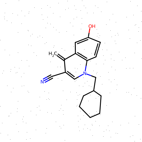 C=C1C(C#N)=CN(CC2CCCCC2)c2ccc(O)cc21